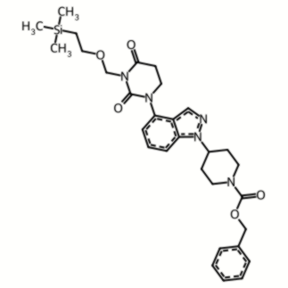 C[Si](C)(C)CCOCN1C(=O)CCN(c2cccc3c2cnn3C2CCN(C(=O)OCc3ccccc3)CC2)C1=O